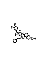 O=C(Cc1ccc(F)c(F)c1)Nc1nc2c(nc1CCc1ccccc1)-c1ccc(O)cc1CC2